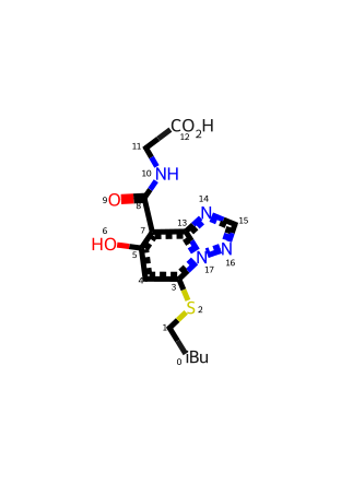 CCC(C)CSc1cc(O)c(C(=O)NCC(=O)O)c2ncnn12